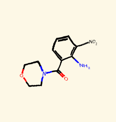 Nc1c(C(=O)N2CCOCC2)cccc1[N+](=O)[O-]